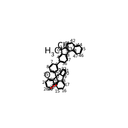 CC1(C)c2cc(-c3ccc4c(c3)C3(c5ccccc5-c5ccccc53)c3c(ccc5ccccc35)O4)ccc2-c2c1ccc1ccccc21